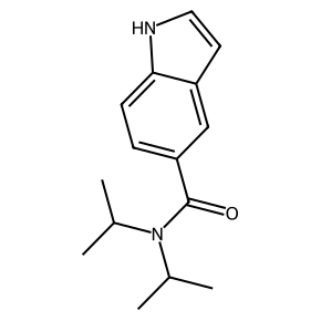 CC(C)N(C(=O)c1ccc2[nH]ccc2c1)C(C)C